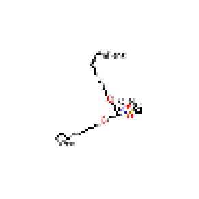 CCCCC/C=C\C/C=C\CCCCCCCCOCCCC1(CCCOCCCCCCCC/C=C\C/C=C\CCCCC)CN(S(=O)(=O)c2ccccc2[N+](=O)[O-])C1